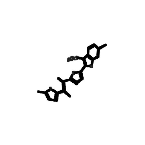 CCCCCCCCc1c(-c2ccc(/C(C)=C(\C)c3ccc(C)s3)s2)oc2cc(C)ccc12